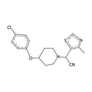 Cc1ncsc1C(C#N)N1CCC(Oc2ccc(Cl)cc2)CC1